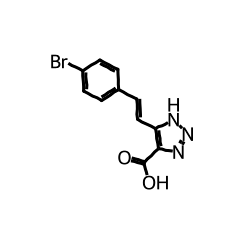 O=C(O)c1nn[nH]c1C=Cc1ccc(Br)cc1